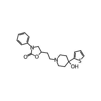 O=C1OC(CCN2CCC(O)(c3cccs3)CC2)CN1c1ccccc1